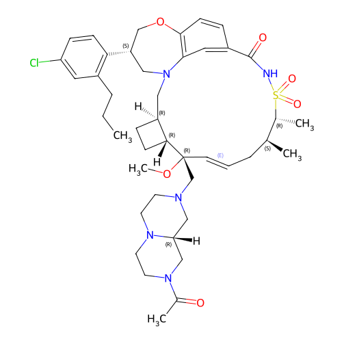 CCCc1cc(Cl)ccc1[C@@H]1COc2ccc3cc2N(C1)C[C@@H]1CC[C@H]1[C@@](CN1CCN2CCN(C(C)=O)C[C@H]2C1)(OC)/C=C/C[C@H](C)[C@@H](C)S(=O)(=O)NC3=O